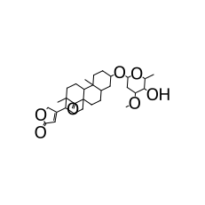 COC1CC(OC2CCC3(C)C(CCC45CCC(C6=CC(=O)OC6)C(C)(CCC43)C5=O)C2)OC(C)C1O